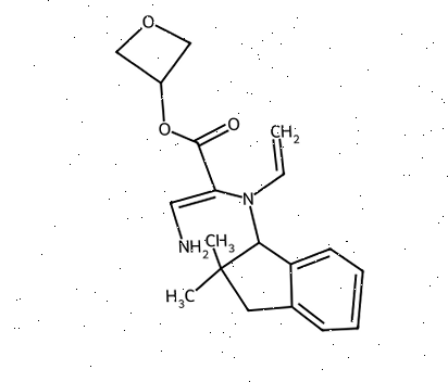 C=CN(/C(=C\N)C(=O)OC1COC1)C1c2ccccc2CC1(C)C